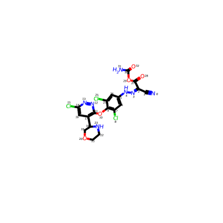 N#CC(=NNc1cc(Cl)c(Oc2nnc(Cl)cc2C2COCCN2)c(Cl)c1)C(=O)OC(N)=O